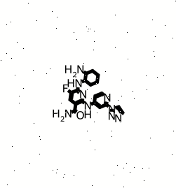 NC(=O)c1cc(F)c(NC2CCCCC2N)nc1Nc1ccnc(-n2ccnn2)c1